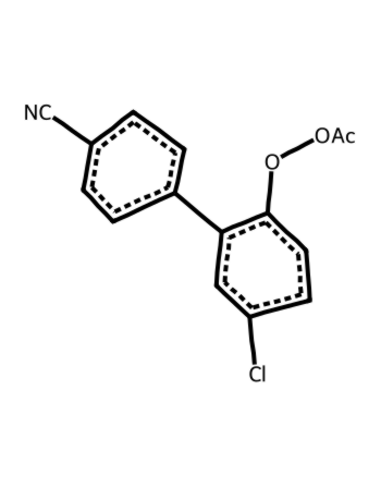 CC(=O)OOc1ccc(Cl)cc1-c1ccc(C#N)cc1